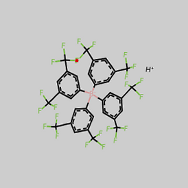 FC(F)(F)c1cc([B-](c2cc(C(F)(F)F)cc(C(F)(F)F)c2)(c2cc(C(F)(F)F)cc(C(F)(F)F)c2)c2cc(C(F)(F)F)cc(C(F)(F)F)c2)cc(C(F)(F)F)c1.[H+]